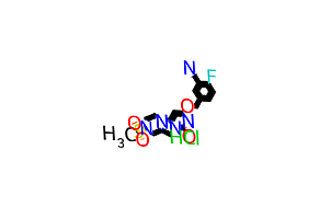 CS(=O)(=O)N1CCN2c3cc(OCc4ccc(F)c(C#N)c4)nc(=O)n3CC2C1.Cl